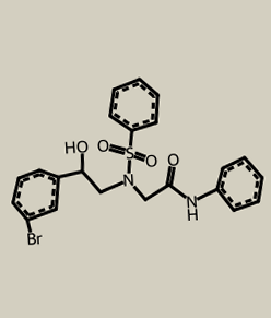 O=C(CN(CC(O)c1cccc(Br)c1)S(=O)(=O)c1ccccc1)Nc1ccccc1